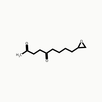 CC(=O)CCC(=O)CCC[CH]C1CO1